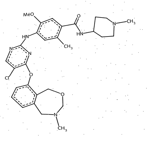 COc1cc(C(=O)NC2CCN(C)CC2)c(C)cc1Nc1ncc(Cl)c(Oc2cccc3c2COCN(C)C3)n1